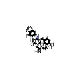 CC(C)Oc1ccc(/N=c2\[nH]c(=O)n(CC(=N)NN=N)c(=O)n2Cc2ccc(Cl)cc2)cc1F